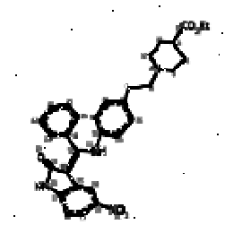 CCOC(=O)C1CCN(CCc2ccc(NC(=C3C(=O)Nc4ccc([N+](=O)[O-])cc43)c3ccccc3)cc2)CC1